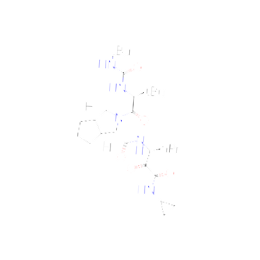 CCC[C@H](NC(=O)[C@@H]1[C@H]2CCC[C@H]2CN1C(=O)[C@@H](NC(=O)NC(C)(C)C)C(C)(C)C)C(=O)C(=O)NC1CC1